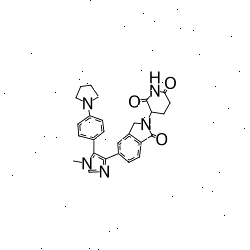 Cn1cnc(-c2ccc3c(c2)CN(C2CCC(=O)NC2=O)C3=O)c1-c1ccc(N2CCCC2)cc1